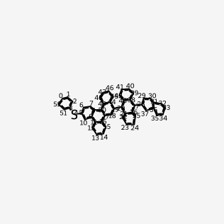 c1ccc(Sc2ccc3c(c2)c2ccccc2c2cc(-c4c5ccccc5c(-c5ccc6ccccc6c5)c5ccccc45)c4ccccc4c32)cc1